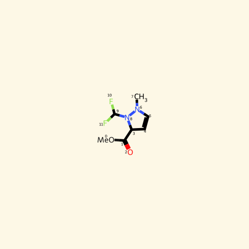 COC(=O)C1C=CN(C)N1C(F)F